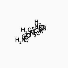 C=C(Nc1ccc(S(N)(=O)=O)cc1)S/C=C(\N)c1c(C)nc2ncccn12